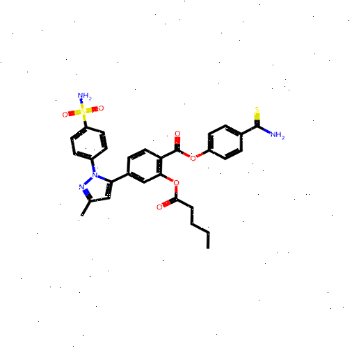 CCCCC(=O)Oc1cc(-c2cc(C)nn2-c2ccc(S(N)(=O)=O)cc2)ccc1C(=O)Oc1ccc(C(N)=S)cc1